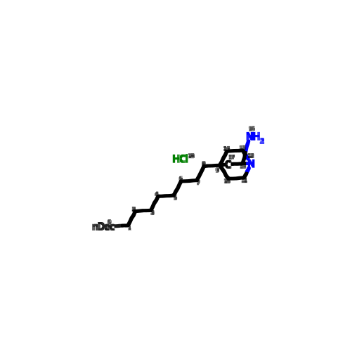 CCCCCCCCCCCCCCCCCCC12CCN(CC1)C(N)C2.Cl